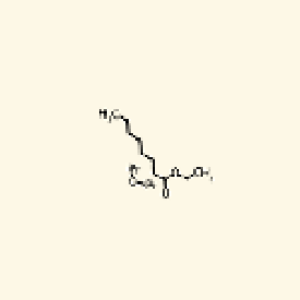 CC(C)OC(C)C.CCCCCCCC(=O)OCC